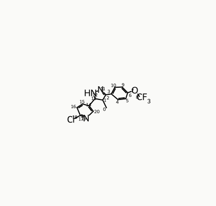 CC1C(c2ccc(OC(F)(F)F)cc2)=NNC1c1ccc(Cl)nc1